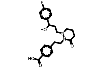 O=C(O)c1ccc(CCN2C(=O)CCCN2CCC(O)c2ccc(F)cc2)cc1